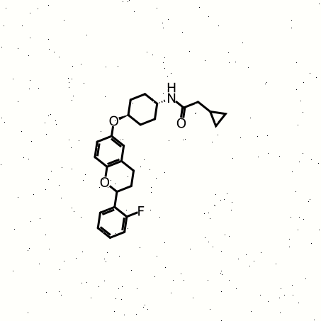 O=C(CC1CC1)N[C@H]1CC[C@H](Oc2ccc3c(c2)CCC(c2ccccc2F)O3)CC1